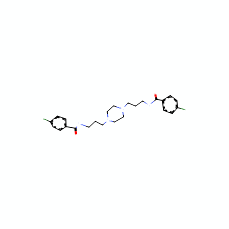 O=C(NCCCN1CCN(CCCNC(=O)c2ccc(Cl)cc2)CC1)c1ccc(Cl)cc1